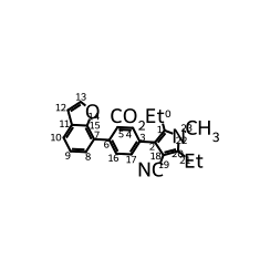 CCOC(=O)c1c(-c2ccc(-c3cccc4ccoc34)cc2)c(C#N)c(CC)n1C